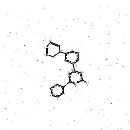 Clc1nc(-c2ccccc2)nc(-c2cccc(C3C=CC=CC3)c2)n1